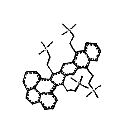 C[Si](C)(C)CCc1c2ccccc2c(CC[Si](C)(C)C)c2cc3c(CC[Si](C)(C)C)c4c5cccc6ccc7cccc(c4c(CC[Si](C)(C)C)c3cc12)c7c65